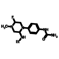 CCNC1CN(C)C(F)CN1c1ccc(NC(N)=O)cc1